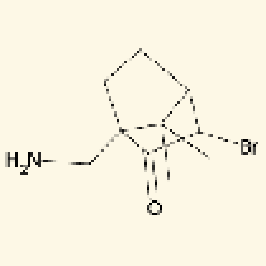 CC1(C)C2CCC1(CN)C(=O)C2Br